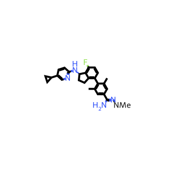 CN/N=C(\N)c1cc(C)c(-c2ccc(F)c3c2CC[C@H]3Nc2ccc(C3CC3)cn2)c(C)c1